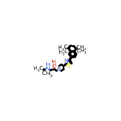 CC(C)NCC(O)CN1CCC(c2nc(-c3ccc4c(c3)C(C)(C)CCC4(C)C)cs2)CC1